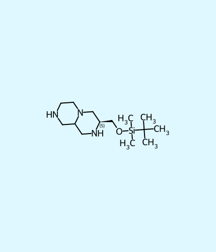 CC(C)(C)[Si](C)(C)OC[C@@H]1CN2CCNCC2CN1